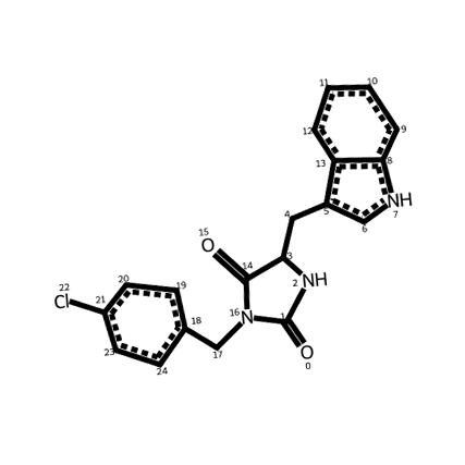 O=C1NC(Cc2c[nH]c3ccccc23)C(=O)N1Cc1ccc(Cl)cc1